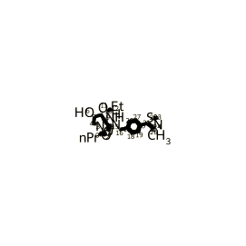 CCCC(=O)N1CC(O)CC1(NC(=O)CC)C(=O)NCc1ccc(-c2scnc2C)cc1